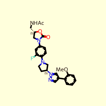 COc1ccccc1-c1cnn([C@H]2CCN(c3ccc(N4C[C@H](CNC(C)=O)OC4=O)cc3F)C2)c1